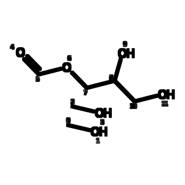 CO.CO.O=COCC(O)CO